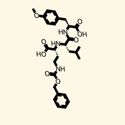 COc1ccc(C[C@H](NC(=O)[C@H](CC(C)C)N[C@H](CCNC(=O)OCc2ccccc2)C(=O)O)C(=O)O)cc1